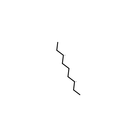 CC[CH]CCC[CH]CC